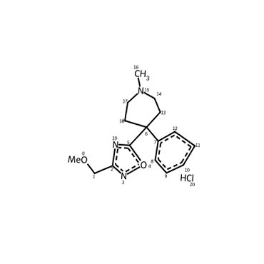 COCc1noc(C2(c3ccccc3)CCN(C)CC2)n1.Cl